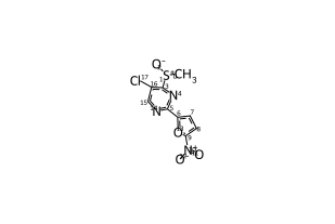 C[S+]([O-])c1nc(-c2ccc([N+](=O)[O-])o2)ncc1Cl